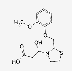 COc1ccccc1OCC1SCCN1[C@@H](O)CC(=O)O